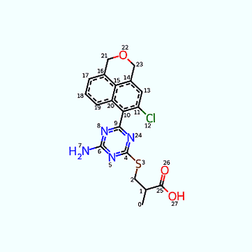 CC(CSc1nc(N)nc(-c2c(Cl)cc3c4c(cccc24)COC3)n1)C(=O)O